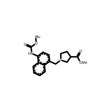 COC(=O)C1CCN(Cc2ccc(NC(=O)OC(C)(C)C)c3ccccc23)C1